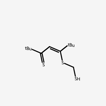 CC(C)(C)C(=S)/C=C(\SCS)C(C)(C)C